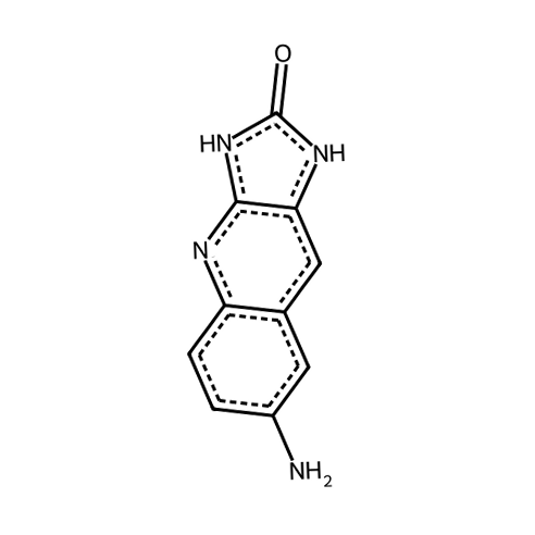 Nc1ccc2nc3[nH]c(=O)[nH]c3cc2c1